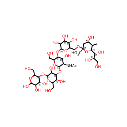 CC(=O)NC1[C@H](O[C@@H]2C(O)[C@H](O[C@@H]3C(CO)OC(O)C(O)[C@H]3O)OC(CO)[C@@H]2O)OC(CO)[C@@H](O[C@@H]2OC(CO[C@]3(C(=O)O)C[C@@H](O)C(C)[C@H]([C@H](O)[C@H](O)CO)O3)[C@H](O)[C@H](O)C2O)[C@@H]1O